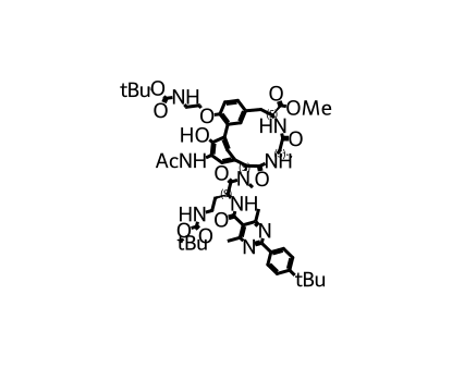 COC(=O)[C@@H]1Cc2ccc(OCCNC(=O)OC(C)(C)C)c(c2)-c2cc(cc(NC(C)=O)c2O)[C@H](N(C)C(=O)[C@H](CCNC(=O)OC(C)(C)C)NC(=O)c2c(C)nc(-c3ccc(C(C)(C)C)cc3)nc2C)C(=O)N[C@@H](C)C(=O)N1